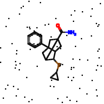 NC(=O)C12CC3C(SC4CC4)C1CC3(c1ccccc1)C2